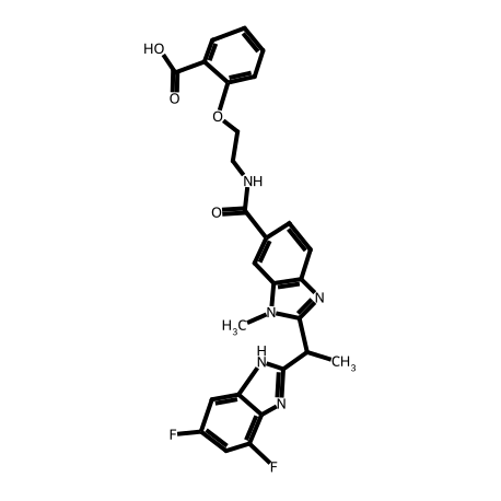 CC(c1nc2c(F)cc(F)cc2[nH]1)c1nc2ccc(C(=O)NCCOc3ccccc3C(=O)O)cc2n1C